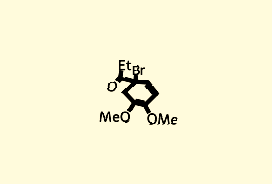 CCC(=O)C1(Br)C=CC(OC)=C(OC)C1